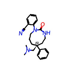 CN(C)C[C@@]1(c2ccccc2)CCCN(c2ccccc2C#N)C(=O)NCC1